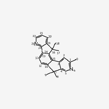 Cc1cc2c(cn1)C(C)(C)c1ccc3c(c1-2)C(C)(C)c1cccnc1-3